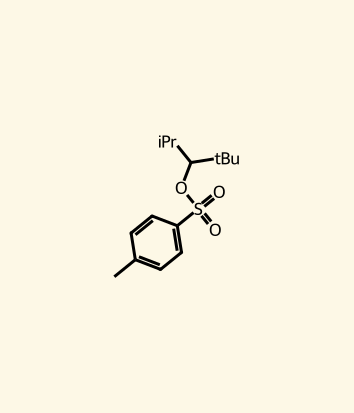 Cc1ccc(S(=O)(=O)OC(C(C)C)C(C)(C)C)cc1